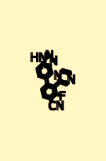 N#Cc1ccc(-c2ccc3[nH]nnc3c2)c(-c2cnccn2)c1F